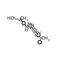 C[C@@H](c1ccccc1)c1cnc(N2CCN(c3ncnc(Nc4ccc(N(C)CCCCO)cc4)n3)CC2)nc1